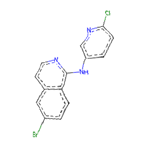 Clc1ccc(Nc2nccc3cc(Br)ccc23)cn1